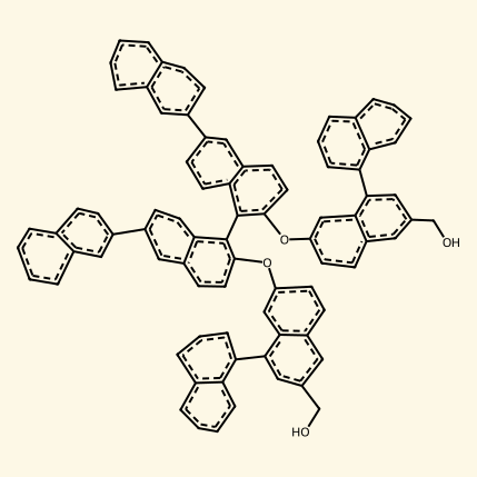 OCc1cc(-c2cccc3ccccc23)c2cc(Oc3ccc4cc(-c5ccc6ccccc6c5)ccc4c3-c3c(Oc4ccc5cc(CO)cc(-c6cccc7ccccc67)c5c4)ccc4cc(-c5ccc6ccccc6c5)ccc34)ccc2c1